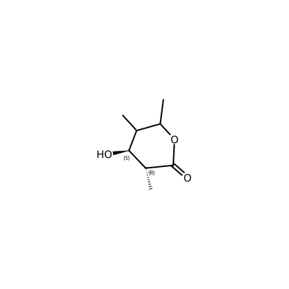 CC1OC(=O)[C@H](C)[C@@H](O)C1C